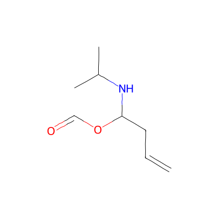 C=CCC(NC(C)C)OC=O